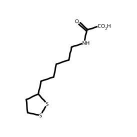 O=C(O)C(=O)NCCCCCC1CCSS1